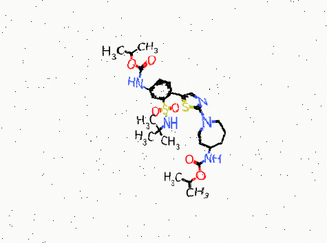 CC(C)OC(=O)Nc1ccc(-c2cnc(N3CCCC(NC(=O)OC(C)C)CC3)s2)c(S(=O)(=O)NC(C)(C)C)c1